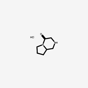 Cl.O=C1CNCC2CCCN12